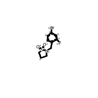 O=S1(=O)CCCN1Cc1ccc(Br)cc1F